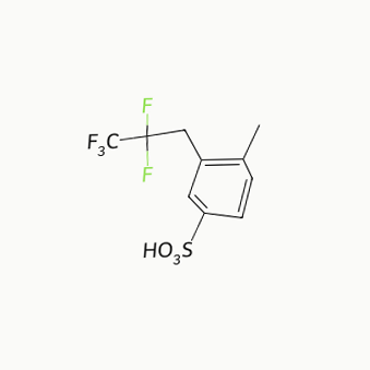 Cc1ccc(S(=O)(=O)O)cc1CC(F)(F)C(F)(F)F